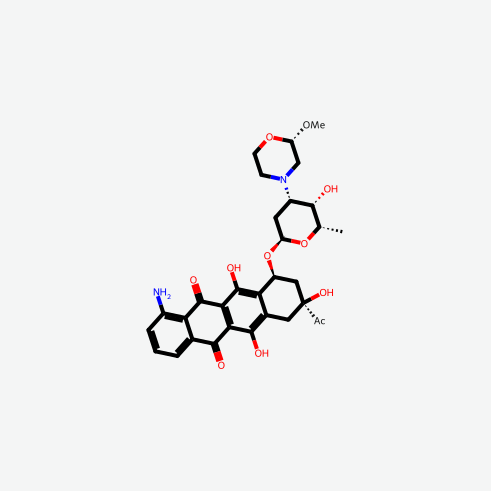 CO[C@@H]1CN([C@H]2C[C@H](O[C@H]3C[C@](O)(C(C)=O)Cc4c(O)c5c(c(O)c43)C(=O)c3c(N)cccc3C5=O)O[C@@H](C)[C@H]2O)CCO1